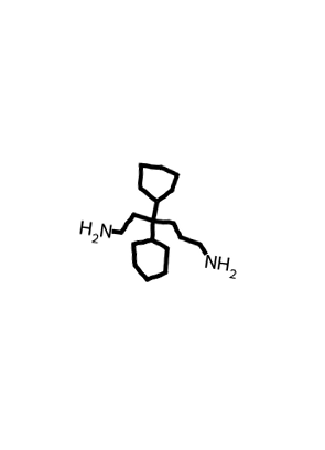 NCCCC(CCN)(C1CCCCC1)C1CCCCC1